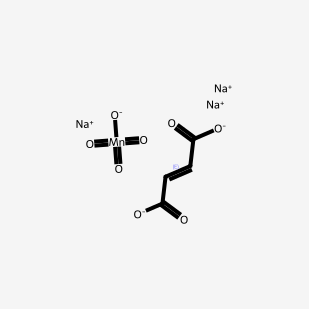 O=C([O-])/C=C/C(=O)[O-].[Na+].[Na+].[Na+].[O]=[Mn](=[O])(=[O])[O-]